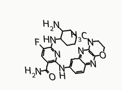 CN1CCOc2nc3ccc(Nc4nc(NC5CCCCC5N)c(F)cc4C(N)=O)cc3nc21